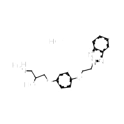 CC(C)NCC(O)COc1ccc(OCCn2nc3ccccc3n2)cc1.Cl